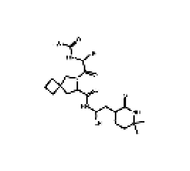 CC1(C)CCC(CC(C#N)NC(=O)C2CC3(CCC3)CN2C(=O)C(NC(=O)C(F)(F)F)C(C)(C)C)C(=O)N1